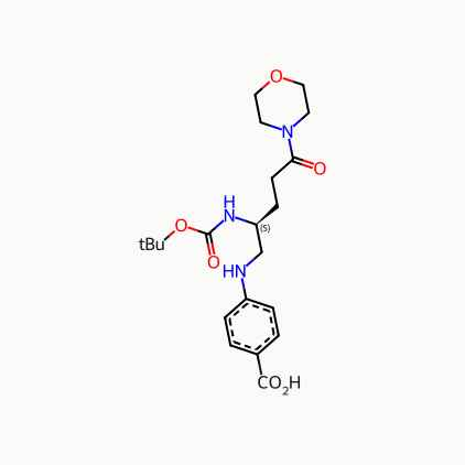 CC(C)(C)OC(=O)N[C@@H](CCC(=O)N1CCOCC1)CNc1ccc(C(=O)O)cc1